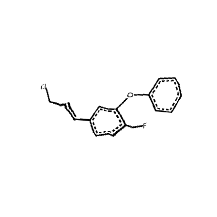 Fc1ccc(C=CCCl)cc1Oc1ccccc1